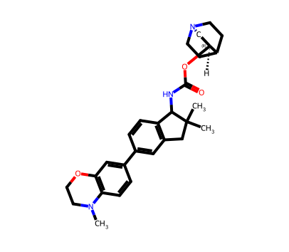 CN1CCOc2cc(-c3ccc4c(c3)CC(C)(C)C4NC(=O)O[C@H]3CN4CCC3CC4)ccc21